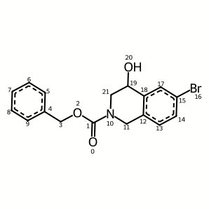 O=C(OCc1ccccc1)N1Cc2ccc(Br)cc2C(O)C1